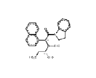 O=C[C@H](CC(=O)O)N(C=O)[C@H](C(=O)N1CCc2ccccc21)c1cccc2ccccc12